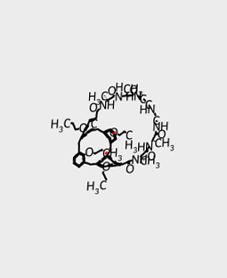 CCCOc1c2cccc1Cc1cc3cc(c1OCCC)Cc1cccc(c1OCCC)Cc1cc(cc(c1OCCC)C2)C(=O)N[C@@H](C)C(=O)N[C@@H](C)C(=O)NCCNCCNC(=O)[C@H](C)NC(=O)[C@@H](C)NC3=O